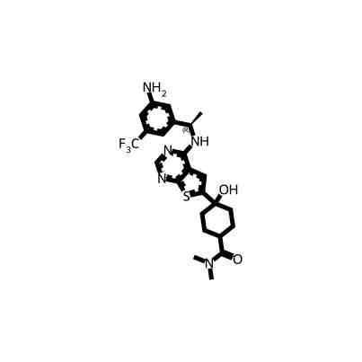 C[C@@H](Nc1ncnc2sc(C3(O)CCC(C(=O)N(C)C)CC3)cc12)c1cc(N)cc(C(F)(F)F)c1